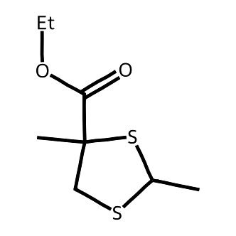 CCOC(=O)C1(C)CS[C](C)S1